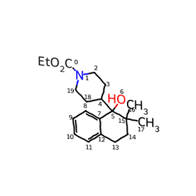 CCOC(=O)N1CCC(C2(O)c3ccccc3CCC2(C)C)CC1